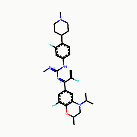 C=C(F)/C(=N\C(=N/C)Nc1ccc(C2CCN(C)CC2)c(F)c1)c1cc(F)c2c(c1)N(C(C)C)CC(C)O2